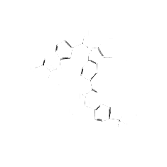 Cc1c(C)n(C(C)c2cccc(O[C@@H](C)C(=O)O)c2)c2ccc(C(=O)N[C@@H](C)c3ccc(C(C)(C)C)cc3)cc12